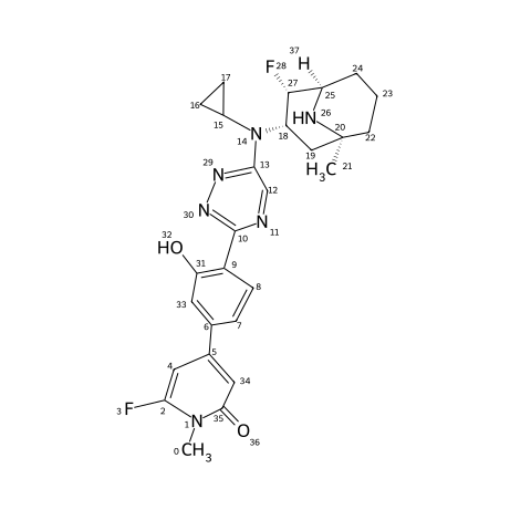 Cn1c(F)cc(-c2ccc(-c3ncc(N(C4CC4)[C@H]4C[C@]5(C)CCC[C@@H](N5)[C@H]4F)nn3)c(O)c2)cc1=O